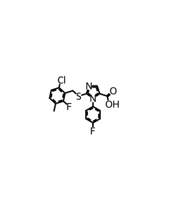 Cc1ccc(Cl)c(CSc2ncc(C(=O)O)n2-c2ccc(F)cc2)c1F